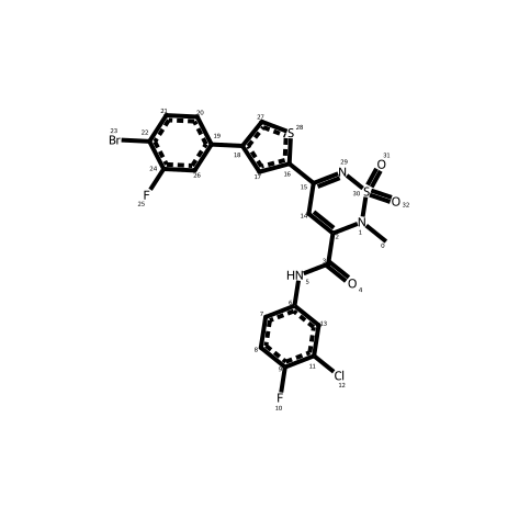 CN1C(C(=O)Nc2ccc(F)c(Cl)c2)=CC(c2cc(-c3ccc(Br)c(F)c3)cs2)=NS1(=O)=O